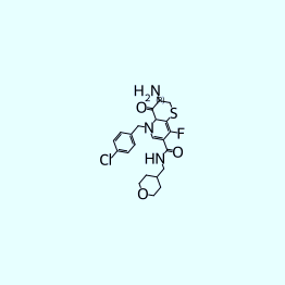 N[C@H]1CSC2=C(F)C(C(=O)NCC3CCOCC3)=CN(Cc3ccc(Cl)cc3)C2C1=O